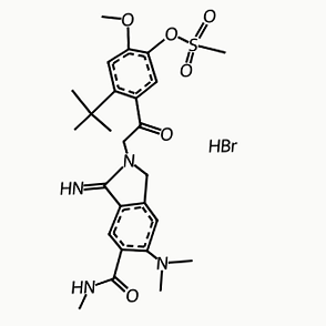 Br.CNC(=O)c1cc2c(cc1N(C)C)CN(CC(=O)c1cc(OS(C)(=O)=O)c(OC)cc1C(C)(C)C)C2=N